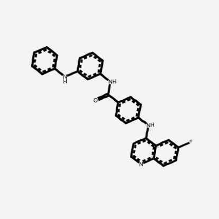 O=C(Nc1cccc(Nc2ccccc2)c1)c1ccc(Nc2ccnc3ccc(F)cc23)cc1